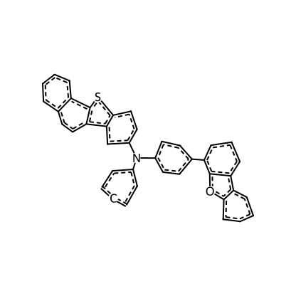 c1ccc(N(c2ccc(-c3cccc4c3oc3ccccc34)cc2)c2ccc3sc4c5ccccc5ccc4c3c2)cc1